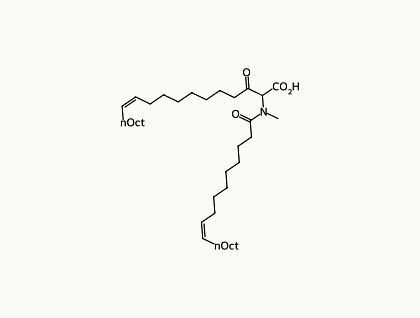 CCCCCCCC/C=C\CCCCCCCC(=O)C(C(=O)O)N(C)C(=O)CCCCCCC/C=C\CCCCCCCC